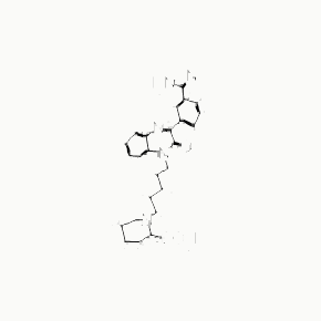 N=C(N)c1cccc(-c2nc3ccccc3n(CCCCCN3CCCCC3C(=O)O)c2=O)c1